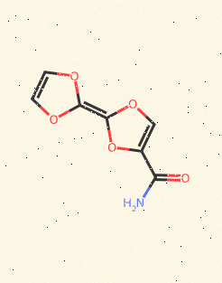 NC(=O)C1=COC(=C2OC=CO2)O1